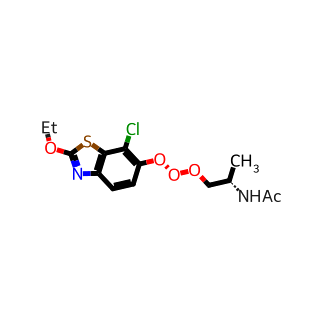 CCOc1nc2ccc(OOOC[C@H](C)NC(C)=O)c(Cl)c2s1